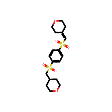 O=S(=O)(C=C1CCOCC1)c1ccc(S(=O)(=O)CC2CCOCC2)cc1